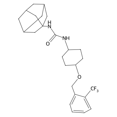 O=C(NC1CCC(OCc2ccccc2C(F)(F)F)CC1)NC12CC3CC(CC(C3)C1)C2